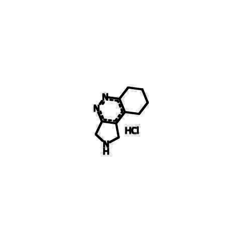 C1CCc2c(nnc3c2CNC3)C1.Cl